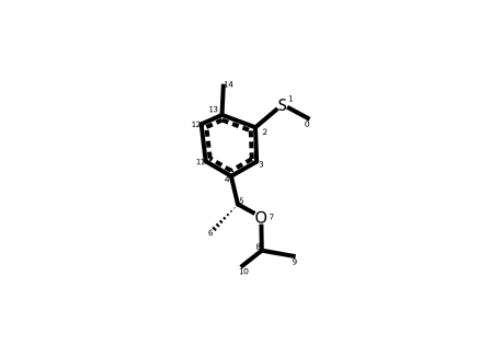 CSc1cc([C@@H](C)OC(C)C)ccc1C